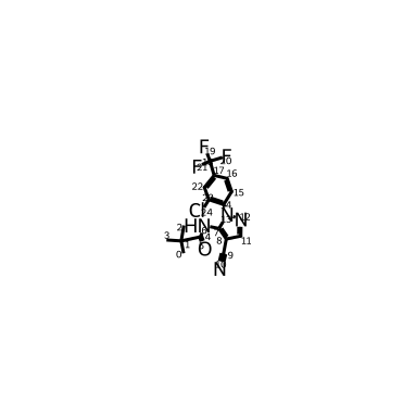 CC(C)(C)C(=O)Nc1c(C#N)cnn1-c1ccc(C(F)(F)F)cc1Cl